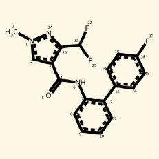 Cn1cc(C(=O)Nc2ccccc2-c2ccc(F)cc2)c(C(F)F)n1